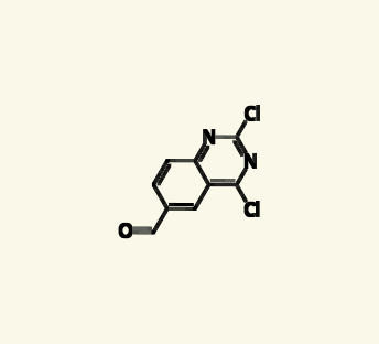 O=Cc1ccc2nc(Cl)nc(Cl)c2c1